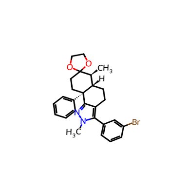 C[C@H]1[C@@H]2CCc3c(nn(C)c3-c3cccc(Br)c3)[C@@]2(c2ccccc2)CCC12OCCO2